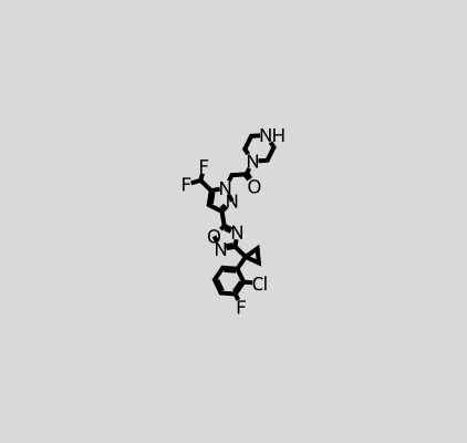 O=C(Cn1nc(-c2nc(C3(c4cccc(F)c4Cl)CC3)no2)cc1C(F)F)N1CCNCC1